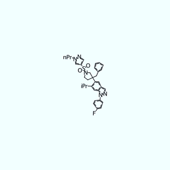 CCCn1cc(S(=O)(=O)N2CCC(Cc3ccccc3)(c3cc4cnn(-c5ccc(F)cc5)c4cc3C(C)C)C2)cn1